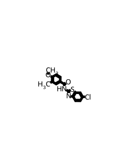 COc1ccc(C(=O)Nc2nc3ccc(Cl)cc3s2)cc1C